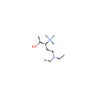 CCN(CC)C[CH]C(C(C)O)[N+](C)(C)C